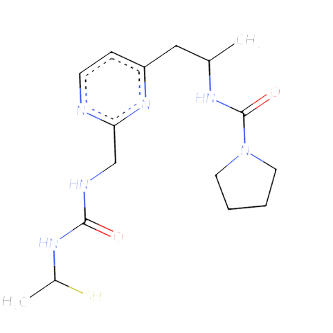 CC(S)NC(=O)NCc1nccc(CC(C)NC(=O)N2CCCC2)n1